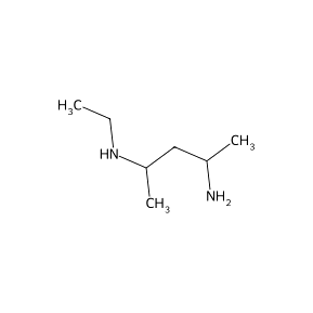 CCNC(C)CC(C)N